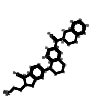 CCCC1Cc2cc(N3CCCc4cc(C(=O)N5CCc6ccccc6C5)cnc43)ccc2C1=O